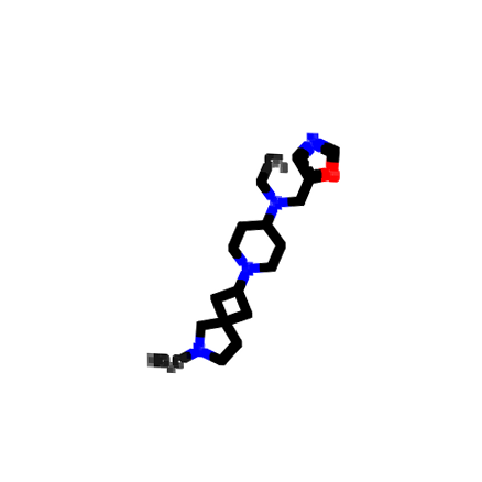 O=C(O)N1CCC2(CC(N3CCC(N(Cc4cnco4)CC(F)(F)F)CC3)C2)C1